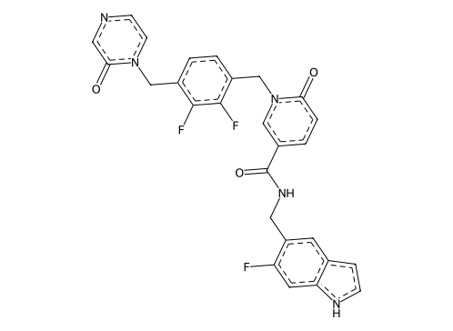 O=C(NCc1cc2cc[nH]c2cc1F)c1ccc(=O)n(Cc2ccc(Cn3ccncc3=O)c(F)c2F)c1